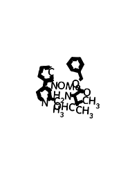 CC(C)(C=O)C(N)C(=O)OCc1ccccc1.COn1c2ccccc2c2ccnc(C)c21